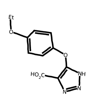 CCOc1ccc(Oc2[nH]nnc2C(=O)O)cc1